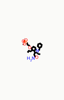 C=CCc1c(OCCCP(=O)(OC)OC)ccc2c1c(CC(N)=O)c(CC)n2Cc1ccccc1